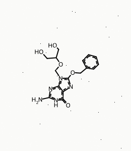 Nc1nc2c(nc(OCc3ccccc3)n2COC(CO)CO)c(=O)[nH]1